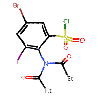 CCC(=O)N(C(=O)CC)c1c(I)cc(Br)cc1S(=O)(=O)Cl